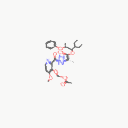 CCC(CC)C(OC(=O)[C@H](C)NC(=O)c1nccc(OC)c1OCOC(C)=O)[C@H](C)Oc1ccccc1